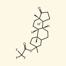 CC1(OC(=O)C(F)(F)F)CC[C@@]2(C)C(CC[C@@H]3[C@H]2CC[C@]2(C)C(=O)CC[C@@H]32)C1